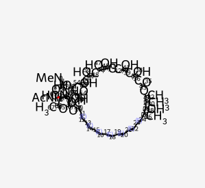 CNCC(=O)N[C@@H]1[C@H](O)[C@@H](O[C@H]2/C=C/C=C/C=C/C=C/C=C/C=C/C=C/[C@H](C)[C@@H](O)[C@@H](C)[C@H](C)OC(=O)C[C@H](O)C[C@H](O)CC[C@@H](O)[C@H](O)C[C@H](O)C[C@]3(O)C[C@H](O)[C@@H](C(=O)NNC(C)=O)[C@H](C2)O3)O[C@@H](C)[C@H]1O